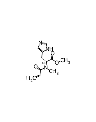 C=CC(=O)N(C)[C@H](Cc1cnc[nH]1)C(=O)OC